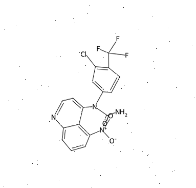 NC(=O)N(c1ccc(C(F)(F)F)c(Cl)c1)c1ccnc2cccc([N+](=O)[O-])c12